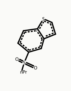 CCCS(=O)(=O)c1ccc2sccc2c1